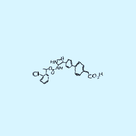 CC(OC(=O)Nc1[nH]cnc1-c1ccc(-c2ccc(CC(=O)O)cc2)cc1)c1ccccc1Cl